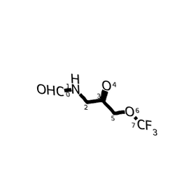 O=CNCC(=O)COC(F)(F)F